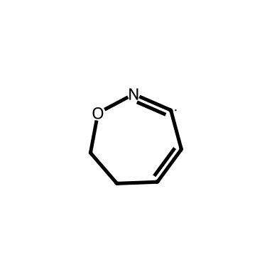 [C]1=NOCCC=C1